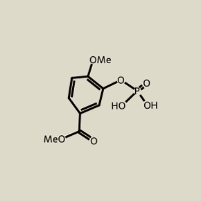 COC(=O)c1ccc(OC)c(OP(=O)(O)O)c1